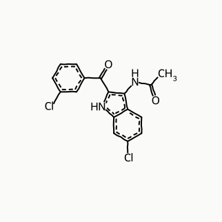 CC(=O)Nc1c(C(=O)c2cccc(Cl)c2)[nH]c2cc(Cl)ccc12